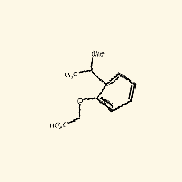 COC(C)c1ccccc1OCC(=O)O